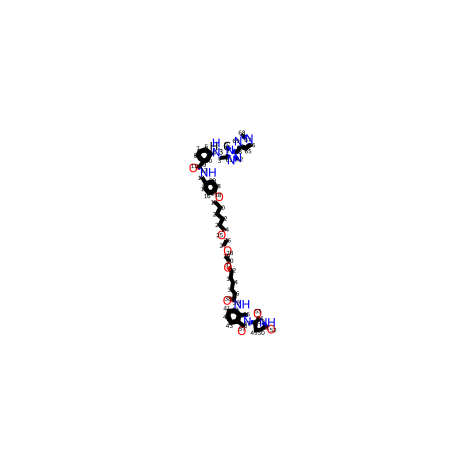 Cn1c(CNc2cccc(C(=O)NCc3ccc(OCCCCCCOCCOCCOCCCCCC(=O)Nc4cccc5c4CN(C4CCC(=O)NC4=O)C5=O)cc3)c2)nnc1-c1ccncn1